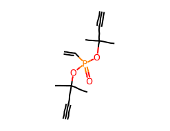 C#CC(C)(C)OP(=O)(C=C)OC(C)(C)C#C